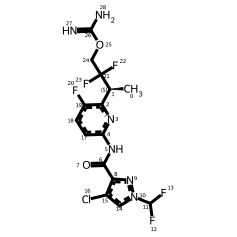 C[C@@H](c1nc(NC(=O)c2nn(C(F)F)cc2Cl)ccc1F)C(F)(F)COC(=N)N